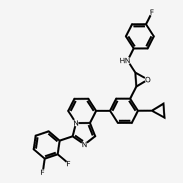 Fc1ccc(NC2OC2c2cc(-c3cccn4c(-c5cccc(F)c5F)ncc34)ccc2C2CC2)cc1